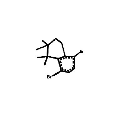 CC1(C)CCc2c(Br)ccc(Br)c2C1(C)C